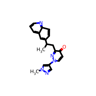 CC(Cc1nn(-c2cnn(C)c2)ccc1=O)c1ccc2ncccc2c1